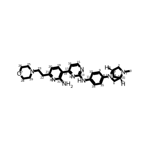 CN1C[C@@H]2C[C@H]1CN2c1ccc(Nc2nccc(-c3ccc(CCN4CCOCC4)nc3N)n2)cc1